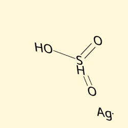 O=[SH](=O)O.[Ag]